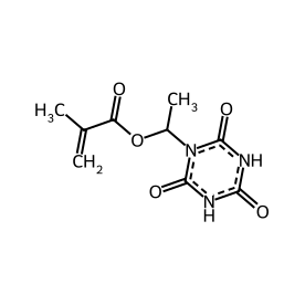 C=C(C)C(=O)OC(C)n1c(=O)[nH]c(=O)[nH]c1=O